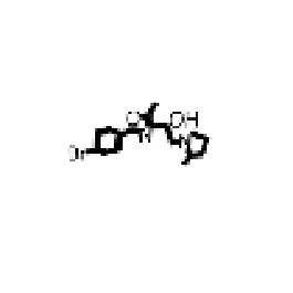 Cc1oc(-c2ccc(Br)cc2)nc1C(O)CN1CCCC1C